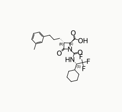 Cc1cccc(CCC[C@H]2C(=O)N(C(=O)N[C@@H](C3CCCCC3)C(F)(F)F)[C@@H]2C(=O)O)c1